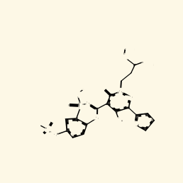 COC(C)CCn1nc(-c2cccs2)c(O)c(C2=NP(=O)(OC)c3cc(NS(C)(=O)=O)ccc3N2)c1=O